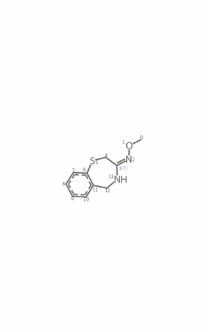 CO/N=C1\CSc2ccccc2CN1